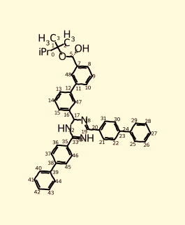 CC(C)C(C)(C)O[C@H](O)c1cccc(-c2cccc(C(/N=C/c3ccc(-c4ccccc4)cc3)NC(=N)c3ccc(-c4ccccc4)cc3)c2)c1